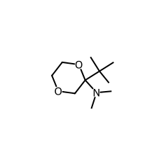 CN(C)C1(C(C)(C)C)COCCO1